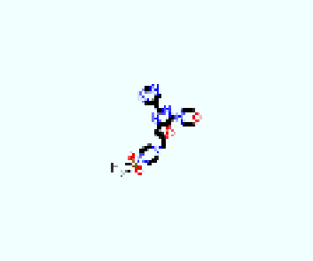 CS(=O)(=O)N1CCN(Cc2cc3nc(-c4cncnc4)nc(N4CCOCC4)c3o2)CC1